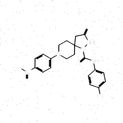 O=C1CC2(CCN(c3ccc([N+](=O)[O-])cc3)CC2)N(C(=O)Nc2ccc(Cl)cc2)N1